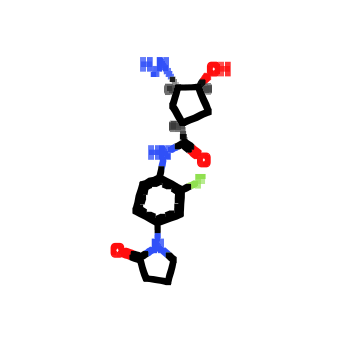 N[C@H]1C[C@@H](C(=O)Nc2ccc(N3CCCC3=O)cc2F)C[C@@H]1O